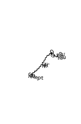 CCCCCCCOC(=O)CCCCCCCCCC(CCCCCCCCCC(=O)OCCC(CCCC)CCCC)N=[N+]=[N-]